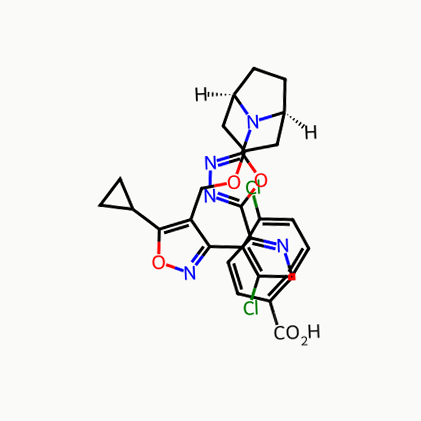 O=C(O)c1ccc(-c2nnc(N3[C@@H]4CC[C@H]3CC(OCc3c(-c5c(Cl)cccc5Cl)noc3C3CC3)C4)o2)nc1